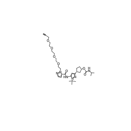 C#CCOCCOCCOCCOCCn1nccc1C(=O)Nc1cc([C@H]2CC[C@@H](OC(=O)NC(C)C)C2)nn1C(C)(C)C